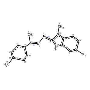 C/C(=N\N=c1/[nH]c2cc(F)ccc2n1C)c1ccc(C)cn1